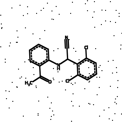 CC(=O)c1ccccc1NC(C#N)c1c(Cl)cccc1Cl